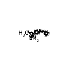 BOC(=O)C(CCCC)C1CCN(CCCc2ccccc2)CC1